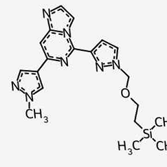 Cn1cc(-c2cc3nccn3c(-c3ccn(COCC[Si](C)(C)C)n3)n2)cn1